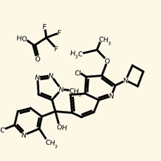 Cc1ccc(C(O)(c2ccc3nc(N4CCC4)c(OC(C)C)c(Cl)c3c2)c2cnnn2C)c(C)n1.O=C(O)C(F)(F)F